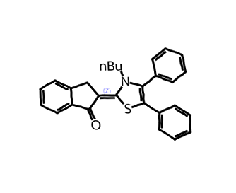 CCCCN1C(c2ccccc2)=C(c2ccccc2)S/C1=C1/Cc2ccccc2C1=O